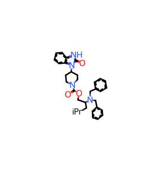 CC(C)CC(COC(=O)N1CCC(n2c(=O)[nH]c3ccccc32)CC1)N(Cc1ccccc1)Cc1ccccc1